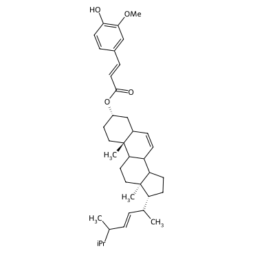 COc1cc(/C=C/C(=O)O[C@H]2CC[C@]3(C)C(C=CC4C3CC[C@@]3(C)C4CC[C@@H]3C(C)/C=C/C(C)C(C)C)C2)ccc1O